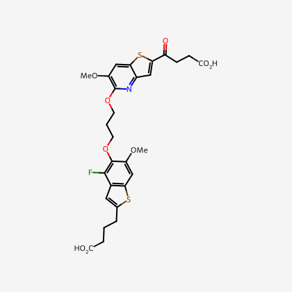 COc1cc2sc(C(=O)CCC(=O)O)cc2nc1OCCCOc1c(OC)cc2sc(CCCC(=O)O)cc2c1F